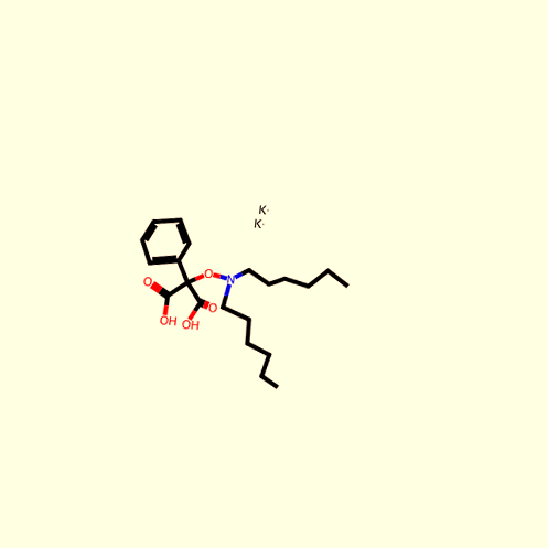 CCCCCCN(CCCCCC)OC(C(=O)O)(C(=O)O)c1ccccc1.[K].[K]